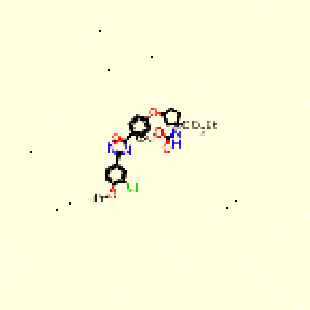 CCOC(=O)C1(NC(=O)OC(C)(C)C)CCC(Oc2ccc(-c3nc(-c4ccc(OC(C)C)c(Cl)c4)no3)cc2)C1